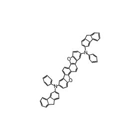 c1ccc(N(c2ccc3c(c2)-c2ccccc2C3)c2ccc3oc4c(ccc5c4ccc4c6cc(N(c7ccccc7)c7ccc8c(c7)-c7ccccc7C8)ccc6oc45)c3c2)cc1